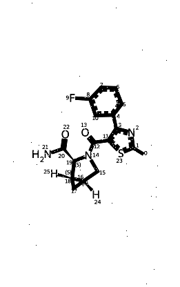 Cc1nc(-c2cccc(F)c2)c(C(=O)N2C[C@@H]3C[C@@H]3[C@H]2C(N)=O)s1